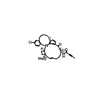 CC#CC(=O)N[S@@]1(=O)=NC(=O)c2ccc3c(c2)N(Cc2ccc(Cl)cc2CCCCO3)C[C@@H]2CC[C@H]2[C@@H](OC)/C=C/CCC1